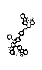 CC1(C)c2ccccc2-c2ccc(-c3c4c(cc5c3c3ccc(-c6ccc(CCC(Cc7ccccc7)c7ccc8c(c7)C(C)(C)c7ccccc7-8)cc6)cc3n5-c3ccccc3)oc3ccccc34)cc21